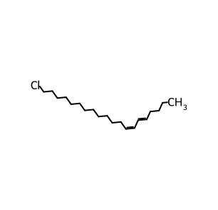 CCCC/C=C/C=C\CCCCCCCCCCCCCl